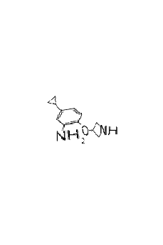 Nc1cc(C2CC2)ccc1OC1CNC1